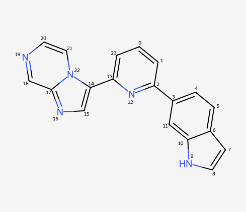 c1cc(-c2ccc3cc[nH]c3c2)nc(-c2cnc3cnccn23)c1